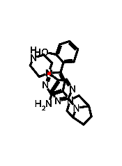 Nc1nnc(-c2ccccc2O)cc1N1CC2CCC(C1)N2c1ncc(N2CCNCC2)cn1